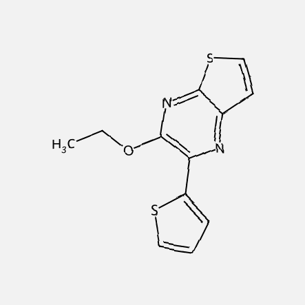 CCOc1nc2sccc2nc1-c1cccs1